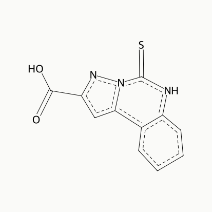 O=C(O)c1cc2c3ccccc3[nH]c(=S)n2n1